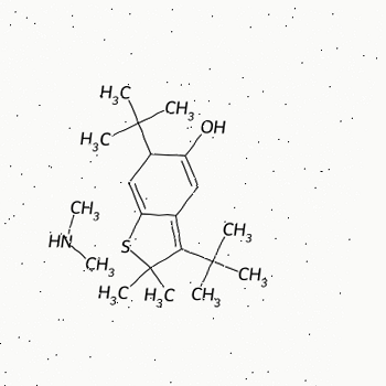 CC(C)(C)C1=C2C=C(O)C(C(C)(C)C)C=C2SC1(C)C.CNC